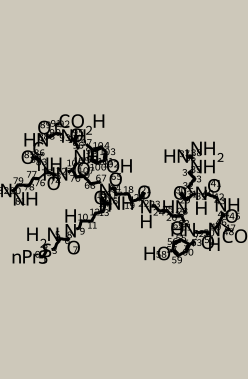 CCCSSCC(N)C(=O)NCCCCCC(=O)NC(CCC(=O)NCCCCC1NC(=O)[C@@H](CCCNC(=N)N)NC(=O)CNC(=O)[C@@H](CC(=O)O)NC(=O)[C@H](Cc2ccc(O)cc2)NC1=O)C(=O)NCCCCC1NC(=O)[C@@H](CCCCC(=N)N)NC(=O)CNC(=O)[C@@H](CC(=O)O)NC(=O)[C@H](Cc2ccc(O)cc2)NC1=O